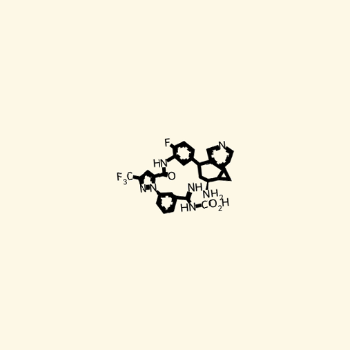 N=C(NC(=O)O)c1cccc(-n2nc(C(F)(F)F)cc2C(=O)Nc2cc(C(C[C@H](N)C3CC3)c3cccnc3)ccc2F)c1